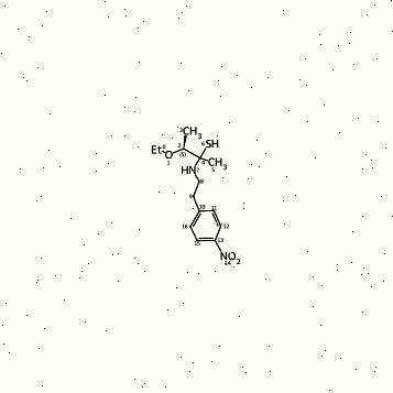 CCO[C@@H](C)C(C)(S)NCCc1ccc([N+](=O)[O-])cc1